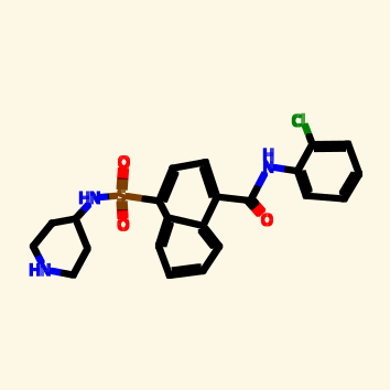 O=C(Nc1ccccc1Cl)c1ccc(S(=O)(=O)NC2CCNCC2)c2ccccc12